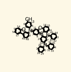 Cc1ccc(N(c2ccc3c(c2)Oc2cccc4c2B3c2ccc(N(c3ccccc3)c3ccccc3)cc2N4c2ccccc2)c2cccc3c2oc2ccccc23)cc1